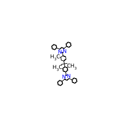 CCC(CC)(C1=CC=C(c2nc(-c3ccccc3)cc(-c3ccccc3)n2)C(C)C1)c1ccc(-c2nc(-c3ccccc3)cc(-c3ccccc3)n2)cc1